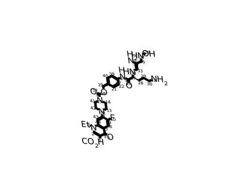 CCn1cc(C(=O)O)c(=O)c2cc(F)c(N3CCN(C(=O)OCc4ccc(NC(=O)[C@H](CCCN)N/C=C(\N)CNO)cc4)CC3)cc21